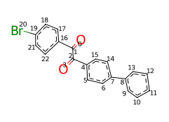 O=C(C(=O)c1ccc(-c2ccccc2)cc1)c1ccc(Br)cc1